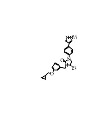 CCC1CN(c2ccc(-c3cn[nH]c3)cc2)C(=O)N1Cc1cccc(OCC2CC2)c1